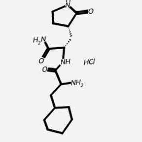 Cl.NC(=O)[C@H](C[C@@H]1CCNC1=O)NC(=O)C(N)CC1CCCCC1